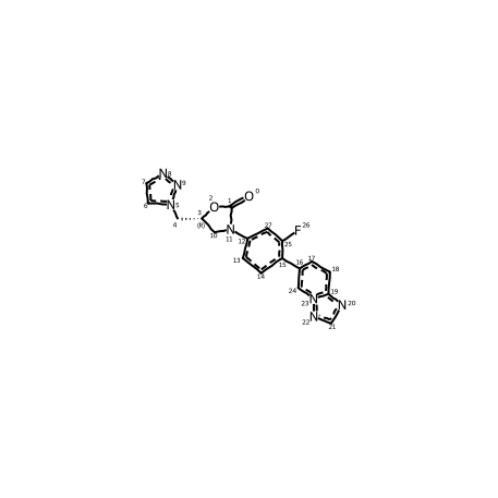 O=C1O[C@@H](Cn2ccnn2)CN1c1ccc(-c2ccc3ncnn3c2)c(F)c1